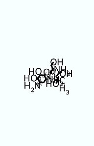 C[C@H](O)C(CO)O[C@H](O[C@@H]1C(N)C[C@@H](N)[C@@H](O)C1O)[C@H](N)CO